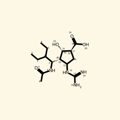 CCC(CC)C(NC(C)=O)[C@H]1C(NC(=N)N)C[C@H](C(=O)O)[C@H]1O